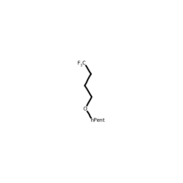 [CH2]CCCCOCCCC(F)(F)F